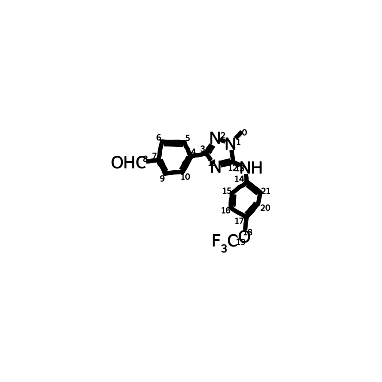 Cn1nc(-c2ccc(C=O)cc2)nc1Nc1ccc(OC(F)(F)F)cc1